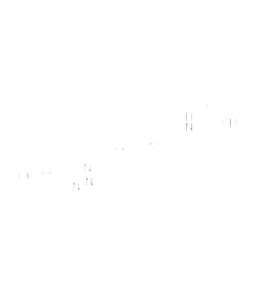 CC(S)CNCCOCCOCCn1cc(COC(C)C)nn1